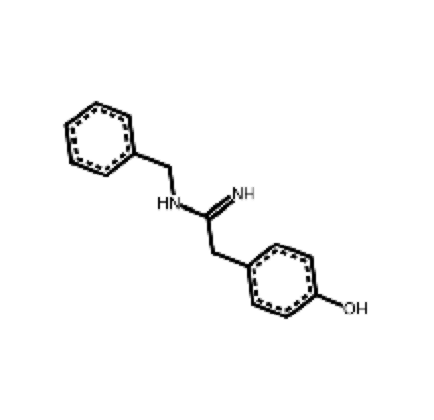 N=C(Cc1ccc(O)cc1)NCc1ccccc1